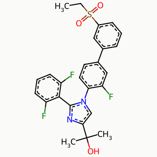 CCS(=O)(=O)c1cccc(-c2ccc(-n3cc(C(C)(C)O)nc3-c3c(F)cccc3F)c(F)c2)c1